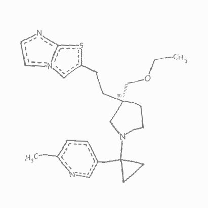 CCOC[C@]1(CCc2cn3ccnc3s2)CCN(C2(c3ccc(C)nc3)CC2)C1